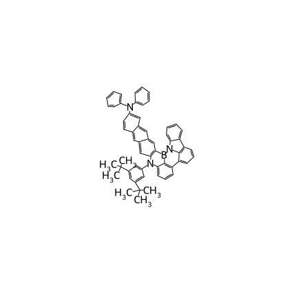 CC(C)(C)c1cc(N2c3cc4cc5ccc(N(c6ccccc6)c6ccccc6)cc5cc4cc3B3c4c(cccc42)-c2cccc4c5ccccc5n3c24)cc(C(C)(C)C)c1